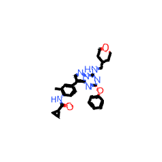 Cc1cc(-c2cnn3c(NCC4CCOCC4)nc(Oc4ccccc4)nc23)ccc1NC(=O)C1CC1